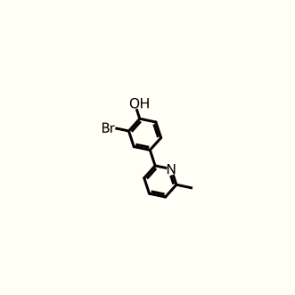 Cc1cccc(-c2ccc(O)c(Br)c2)n1